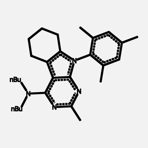 CCCCN(CCCC)c1nc(C)nc2c1c1c(n2-c2c(C)cc(C)cc2C)CCCC1